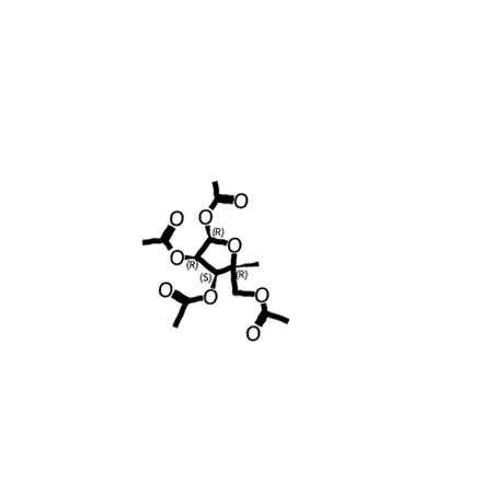 CC(=O)OC[C@@]1(C)O[C@H](OC(C)=O)[C@H](OC(C)=O)[C@@H]1OC(C)=O